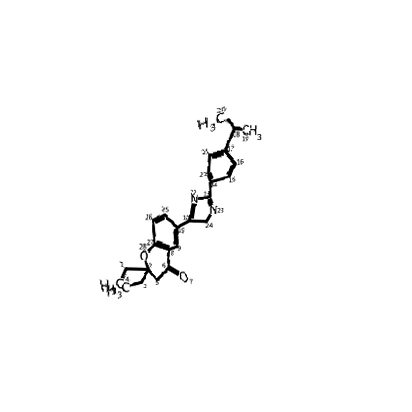 CCC1(CC)CC(=O)c2cc(C3=NC(c4ccc(C(C)C)cc4)=NC3)ccc2O1